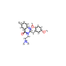 COc1ccc(OC)c(Cc2nc3ccc(C)cc3c(=O)n2CCN(C)C)c1